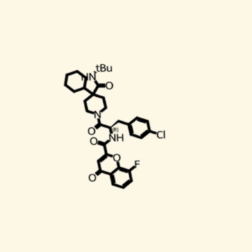 CC(C)(C)NC(=O)C1(C2CCCCC2)CCN(C(=O)[C@@H](Cc2ccc(Cl)cc2)NC(=O)c2cc(=O)c3cccc(F)c3o2)CC1